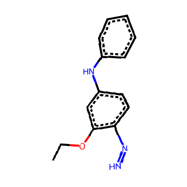 CCOc1cc(Nc2ccccc2)ccc1N=N